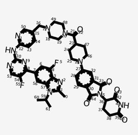 Cc1nc2c(F)cc(-c3nc(Nc4ccc(CN5CCN(C(=O)C6CCN(c7ccc8c(c7)C(=O)N(C7CCC(=O)NC7=O)C8=O)CC6)CC5)cn4)ncc3F)cc2n1C(C)C